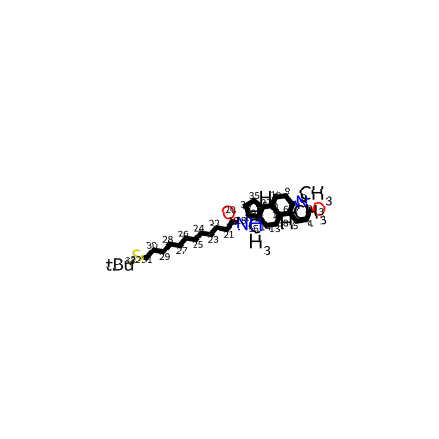 CN1C(=O)CC[C@@]2(C)C1CC[C@@H]1[C@H]2CC[C@]2(C)C(NC(=O)CCCCCCCCCCCSC(C)(C)C)CC[C@@H]12